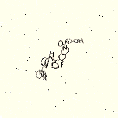 O=C(Nc1cccc(-c2nnc3n2CCCC3)n1)c1cc2c(cc1F)CCN(C(=O)N1CC[C@@H](O)C1)C2